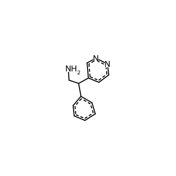 NCC(c1ccccc1)c1ccnnc1